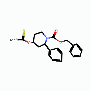 CSC(=S)OC1CCN(C(=O)OCc2ccccc2)C(c2ccccc2)C1